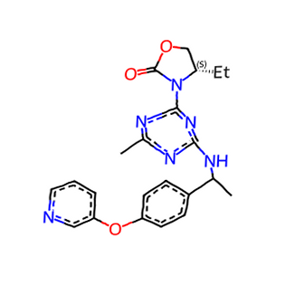 CC[C@H]1COC(=O)N1c1nc(C)nc(NC(C)c2ccc(Oc3cccnc3)cc2)n1